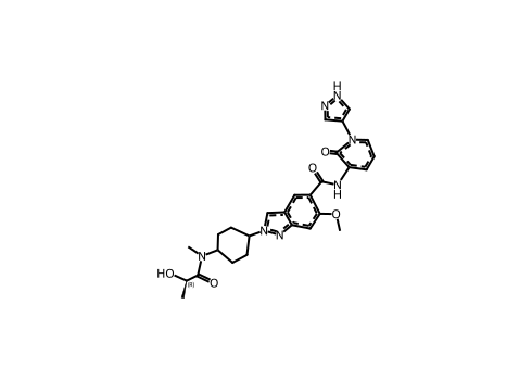 COc1cc2nn(C3CCC(N(C)C(=O)[C@@H](C)O)CC3)cc2cc1C(=O)Nc1cccn(-c2cn[nH]c2)c1=O